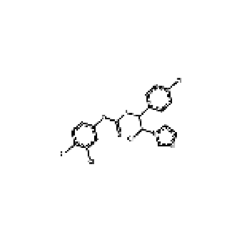 S=C(Oc1ccc(Cl)c(Cl)c1)SC(c1ccc(Cl)cc1)C(Cl)n1ccnc1